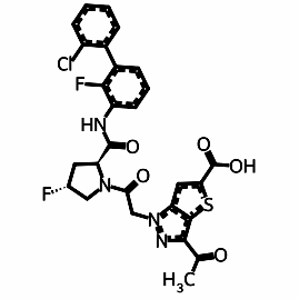 CC(=O)c1nn(CC(=O)N2C[C@H](F)C[C@H]2C(=O)Nc2cccc(-c3ccccc3Cl)c2F)c2cc(C(=O)O)sc12